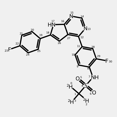 [2H]C([2H])([2H])S(=O)(=O)Nc1ccc(-c2ncnc3[nH]c(-c4ccc(F)cc4)cc23)cc1F